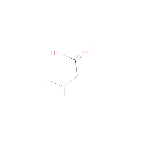 C[C@H]([NH][Fe])C(=O)O